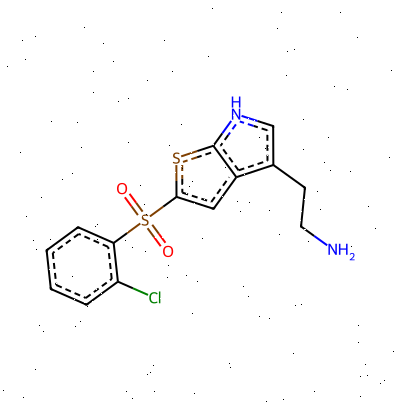 NCCc1c[nH]c2sc(S(=O)(=O)c3ccccc3Cl)cc12